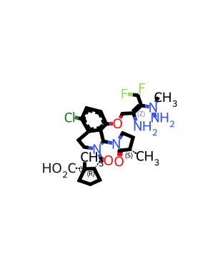 C[C@H]1CCN(C2c3c(OC/C(N)=C(\C(F)F)N(C)N)ccc(Cl)c3CCN2C(=O)[C@@H]2CCC[C@]2(C)C(=O)O)C1=O